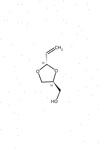 C=C[C@H]1OC[C@H](CO)O1